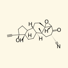 C#C[C@]1(O)CC[C@H]2[C@@H]3CC[C@@]45O[C@@H]4C(=O)[C@H](C#N)C[C@]5(C)[C@H]3CC[C@@]21C